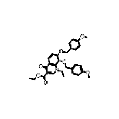 CCOC(=O)c1cn(CC)c2c(OCc3ccc(OC)cc3)c(OCc3ccc(OC)cc3)ccc2c1=O